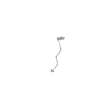 C[N+]CCC[N]